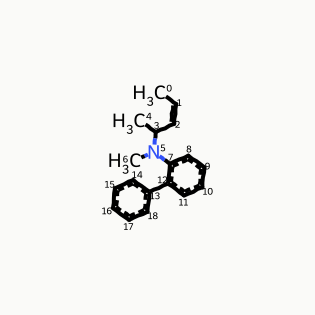 C/C=C\C(C)N(C)c1ccccc1-c1ccccc1